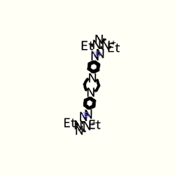 CCn1nc[n+](CC)c1/N=N/c1ccc(N2CCCN(c3ccc(/N=N/c4n(CC)nc[n+]4CC)cc3)CCC2)cc1